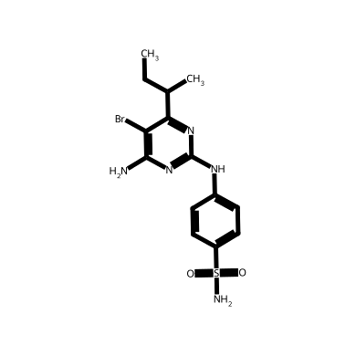 CCC(C)c1nc(Nc2ccc(S(N)(=O)=O)cc2)nc(N)c1Br